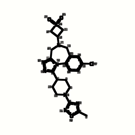 Cc1nc(N2CCC(c3nnc4n3-c3ccc(Cl)cc3CN(C3CS(=O)(=O)C3)C4)CC2)no1